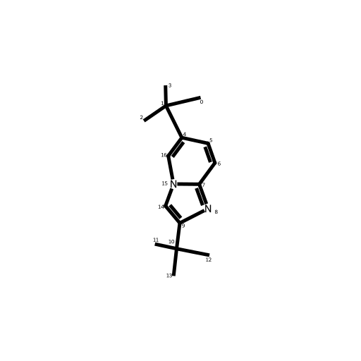 CC(C)(C)c1ccc2nc(C(C)(C)C)cn2c1